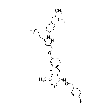 CCCc1cc(COc2ccc(CC(C(=O)OC)C(C)=NOCc3ccc(F)cc3)cc2)nn1-c1ccc(CC(C)C)cc1